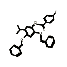 CC(C)c1cc(NC(=O)c2ccc(F)cc2)c(OCc2ccccc2)cc1OCc1ccccc1